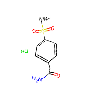 CNS(=O)(=O)c1ccc(C(N)=O)cc1.Cl